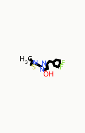 Cc1csc(-c2nc(O)cc(CC3CCC(F)(F)CC3)n2)n1